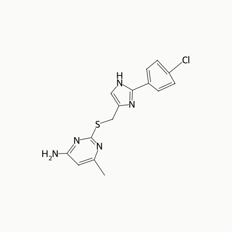 Cc1cc(N)nc(SCc2c[nH]c(-c3ccc(Cl)cc3)n2)n1